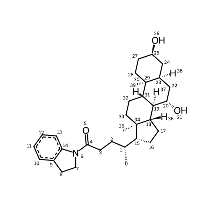 C[C@H](CCC(=O)N1CCc2ccccc21)[C@H]1CC[C@H]2[C@@H]3[C@@H](O)C[C@@H]4C[C@H](O)CC[C@]4(C)[C@H]3CC[C@]12C